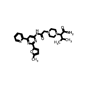 Cc1ccc(-c2nc(NC(=O)CN3CCN(C(C(N)=O)C(C)C)CC3)cc(-c3ccccn3)n2)o1